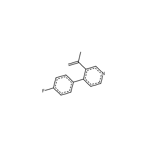 C=C(C)c1cnccc1-c1ccc(F)cc1